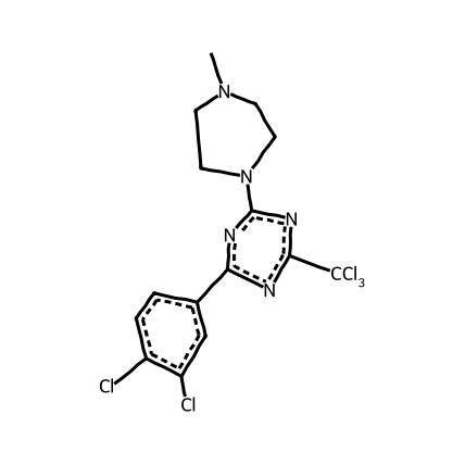 CN1CCN(c2nc(-c3ccc(Cl)c(Cl)c3)nc(C(Cl)(Cl)Cl)n2)CC1